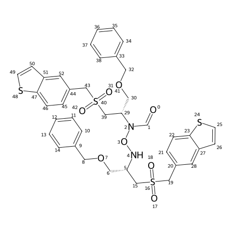 O=CN(ON[C@@H](COCc1ccccc1)CS(=O)(=O)Cc1ccc2sccc2c1)[C@@H](COCc1ccccc1)CS(=O)(=O)Cc1ccc2sccc2c1